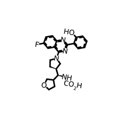 O=C(O)N[C@@H](C1CCOC1)[C@H]1CCN(c2nc(-c3ccccc3O)nc3ccc(F)cc23)C1